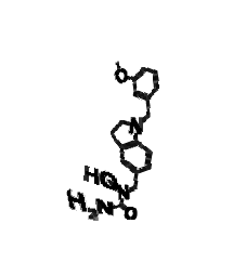 COc1cccc(CN2CCc3cc(CN(O)C(N)=O)ccc32)c1